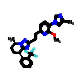 COc1nc(/C=C/c2nc3n(n2)[C@@H](C)CC[C@H]3c2ccccc2C(F)(F)F)ccc1-n1cnc(C)c1